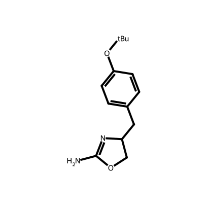 CC(C)(C)Oc1ccc(CC2COC(N)=N2)cc1